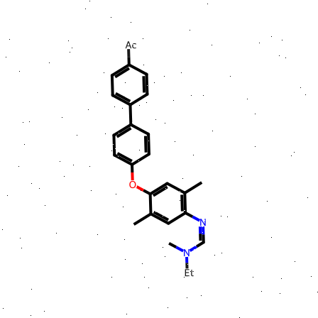 CCN(C)/C=N\c1cc(C)c(Oc2ccc(-c3ccc(C(C)=O)cc3)cc2)cc1C